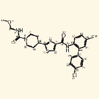 COCNC(=S)N1CCC(c2nc(C(=O)Nc3ccc(F)cc3-c3ccc(Cl)cc3)cs2)CC1